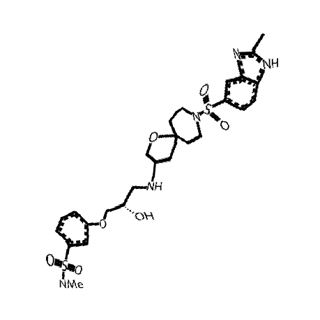 CNS(=O)(=O)c1cccc(OC[C@@H](O)CNC2COC3(CCN(S(=O)(=O)c4ccc5[nH]c(C)nc5c4)CC3)C2)c1